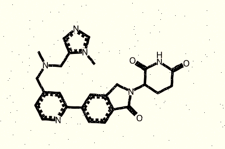 CN(Cc1ccnc(-c2ccc3c(c2)CN(C2CCC(=O)NC2=O)C3=O)c1)Cc1cncn1C